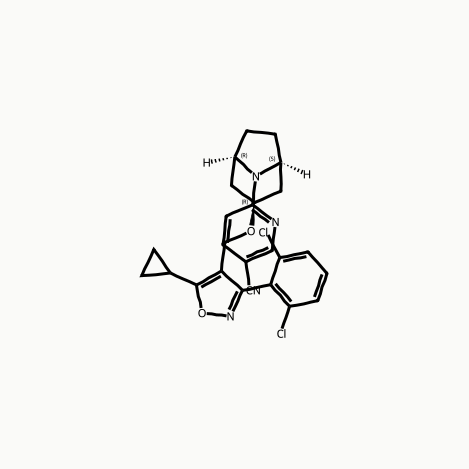 N#Cc1ccc(N2[C@@H]3CC[C@H]2C[C@@H](OCc2c(-c4c(Cl)cccc4Cl)noc2C2CC2)C3)nc1